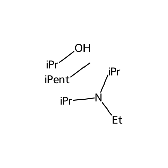 CC(C)O.CCCC(C)C.CCN(C(C)C)C(C)C